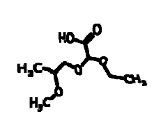 CCOC(OCC(C)OC)C(=O)O